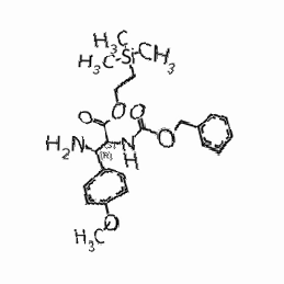 COc1ccc([C@@H](N)[C@H](NC(=O)OCc2ccccc2)C(=O)OCC[Si](C)(C)C)cc1